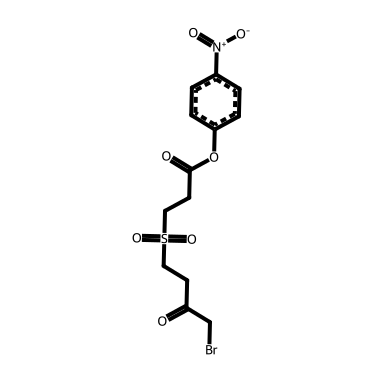 O=C(CBr)CCS(=O)(=O)CCC(=O)Oc1ccc([N+](=O)[O-])cc1